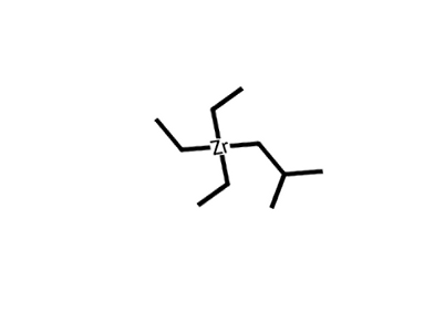 C[CH2][Zr]([CH2]C)([CH2]C)[CH2]C(C)C